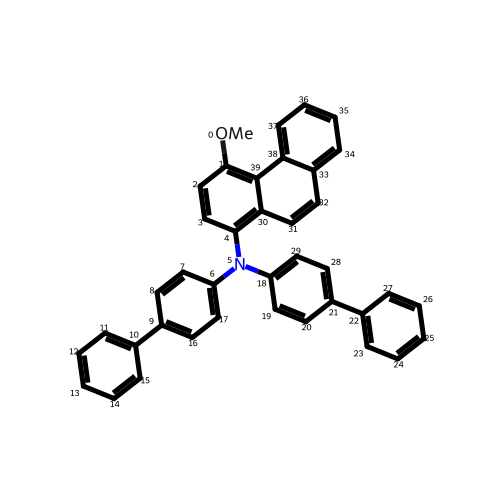 COc1ccc(N(c2ccc(-c3ccccc3)cc2)c2ccc(-c3ccccc3)cc2)c2ccc3ccccc3c12